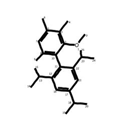 COc1c(C)c(C)[c]c(C)c1-c1c(C(C)C)cc(C(C)C)cc1C(C)C